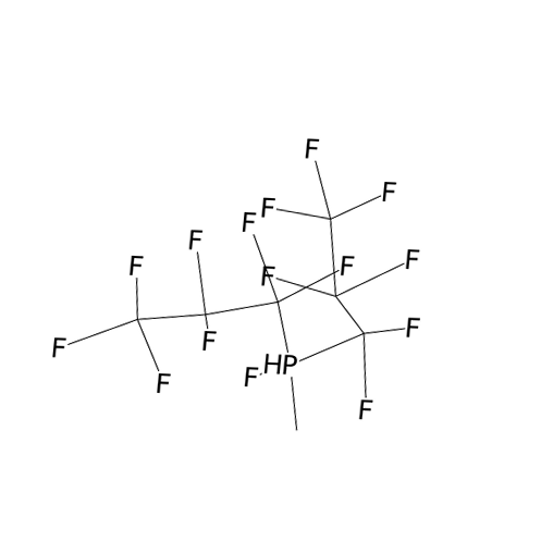 C[PH](F)(C(F)(F)C(F)(F)C(F)(F)F)C(F)(F)C(F)(F)C(F)(F)F